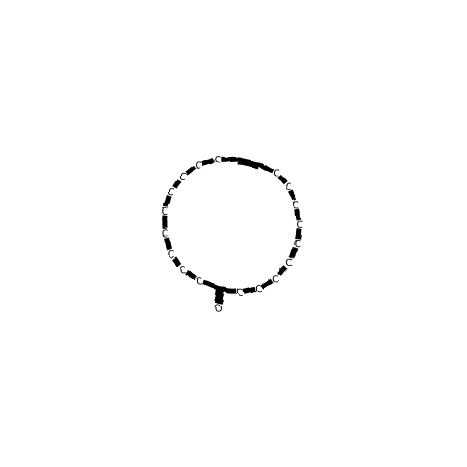 O=C1CCCCCCCCCC=CCCCCCCCCC1